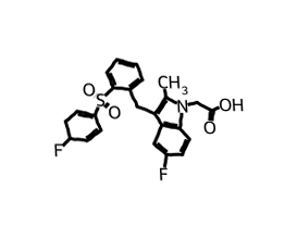 Cc1c(Cc2ccccc2S(=O)(=O)C2=CCC(F)C=C2)c2cc(F)ccc2n1CC(=O)O